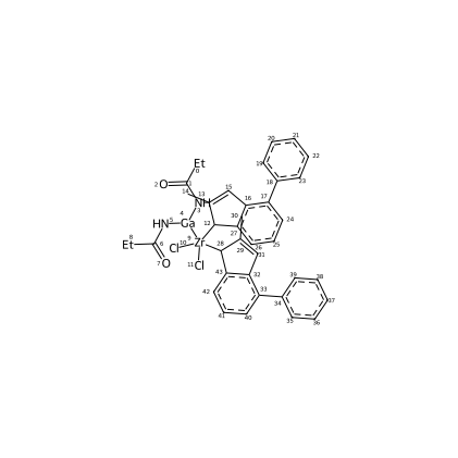 CCC(=O)[NH][Ga]([NH]C(=O)CC)[Zr]([Cl])([Cl])([CH]1C(C)=Cc2c(-c3ccccc3)cccc21)[CH]1C(C)=Cc2c(-c3ccccc3)cccc21